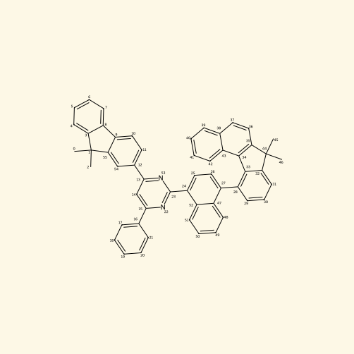 CC1(C)c2ccccc2-c2ccc(-c3cc(-c4ccccc4)nc(-c4ccc(-c5cccc6c5-c5c(ccc7ccccc57)C6(C)C)c5ccccc45)n3)cc21